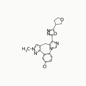 Cn1cc2c(n1)-c1cc(Cl)ccc1-n1cnc(-c3nnc(C4CCOC4)o3)c1C2